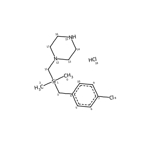 C[Si](C)(Cc1ccc(Cl)cc1)CN1CCNCC1.Cl